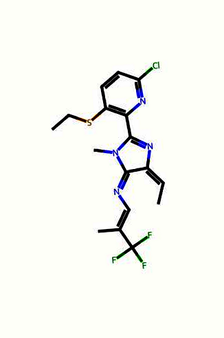 C/C=C1/N=C(c2nc(Cl)ccc2SCC)N(C)/C1=N/C=C(\C)C(F)(F)F